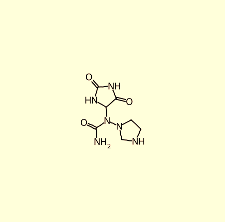 NC(=O)N(C1NC(=O)NC1=O)N1CCNC1